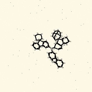 C1=CC(N(c2ccc3c(c2)-c2ccccc2C32CCCCC2)c2ccc3oc4ccccc4c3c2)CC2=C1c1ccccc1C21C2CC3CC(C2)CC1C3